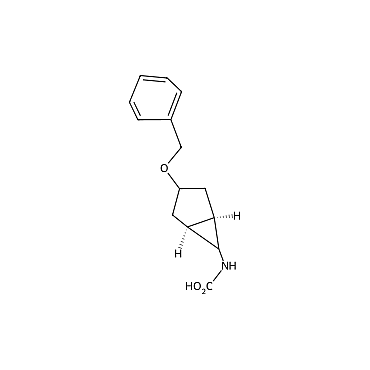 O=C(O)NC1[C@H]2CC(OCc3ccccc3)C[C@@H]12